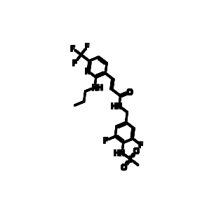 CCCNc1nc(C(F)(F)F)ccc1C=CC(=O)NCc1cc(F)c(NS(C)(=O)=O)c(F)c1